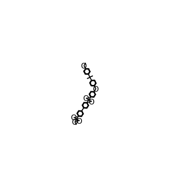 COc1ccc(C(C)(C)c2ccc(Oc3ccc(S(=O)(=O)c4ccc(-c5ccc(S(=O)(=O)OC)cc5)cc4)cc3)cc2)cc1